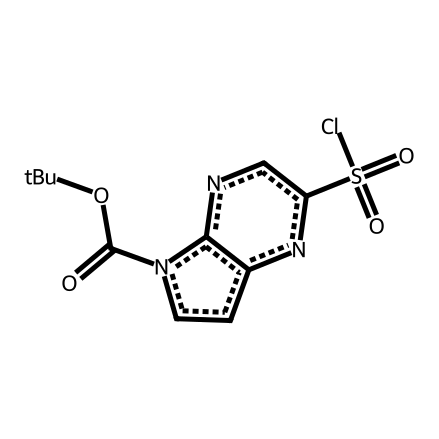 CC(C)(C)OC(=O)n1ccc2nc(S(=O)(=O)Cl)cnc21